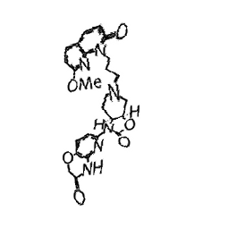 COc1ccc2ccc(=O)n(CCCN3CC[C@H]4[C@@H](C3)OC(=O)N4c3ccc4c(n3)NC(=O)CO4)c2n1